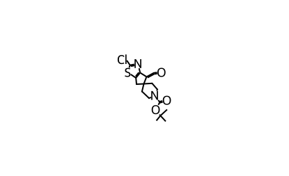 CC(C)(C)OC(=O)N1CCC2(CC1)Cc1sc(Cl)nc1C2=C=O